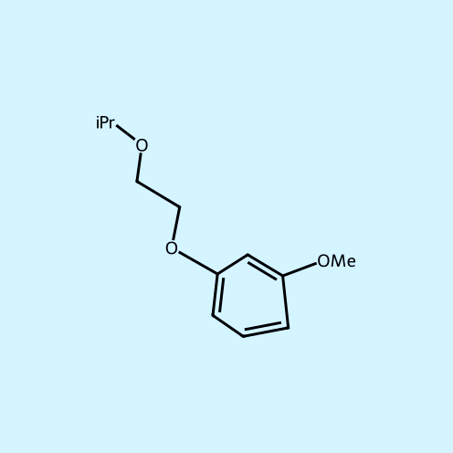 COc1cccc(OCCOC(C)C)c1